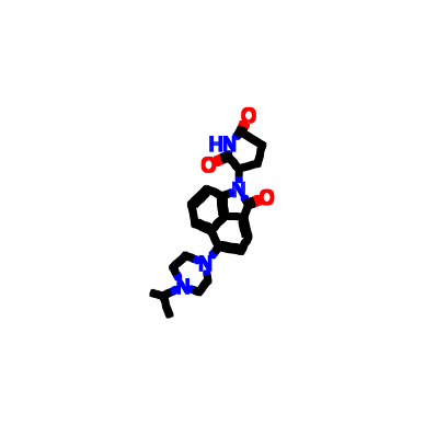 CC(C)N1CCN(c2ccc3c4c(cccc24)N(C2CCC(=O)NC2=O)C3=O)CC1